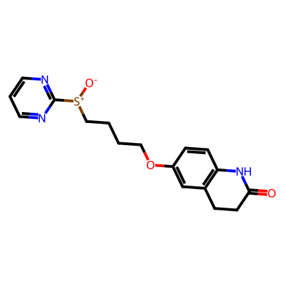 O=C1CCc2cc(OCCCC[S+]([O-])c3ncccn3)ccc2N1